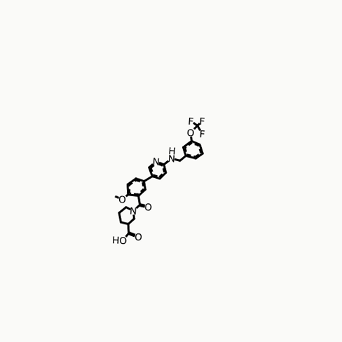 COc1ccc(-c2ccc(NCc3cccc(OC(F)(F)F)c3)nc2)cc1C(=O)N1CCCC(C(=O)O)C1